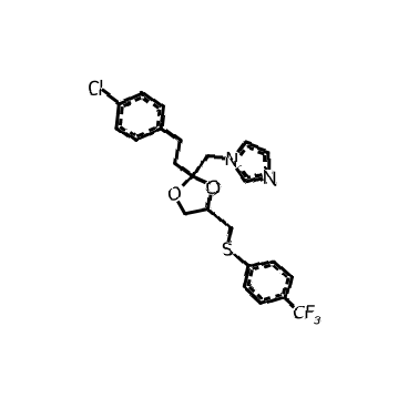 FC(F)(F)c1ccc(SCC2COC(CCc3ccc(Cl)cc3)(Cn3ccnc3)O2)cc1